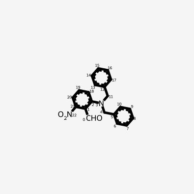 O=Cc1c(N(Cc2ccccc2)Cc2ccccc2)cccc1[N+](=O)[O-]